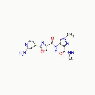 CCNC(=O)c1nn(C)cc1NC(=O)c1coc(-c2ccnc(N)c2)n1